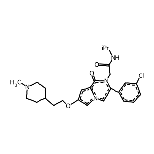 CC(C)NC(=O)Cn1c(-c2cccc(Cl)c2)cn2cc(OCCC3CCN(C)CC3)cc2c1=O